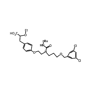 CCCCNC(=O)N(CCCOCc1cc(Cl)cc(Cl)c1)CCOc1ccc(CC(OCC)C(=O)O)cc1